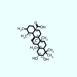 CC1CC[C@]2(C(=O)O)CC[C@]3(C)C(=CCC4[C@@]5(C)C[C@@H](O)[C@@H](O)C(C)(C)C5CC[C@]43C)C2[C@H]1C